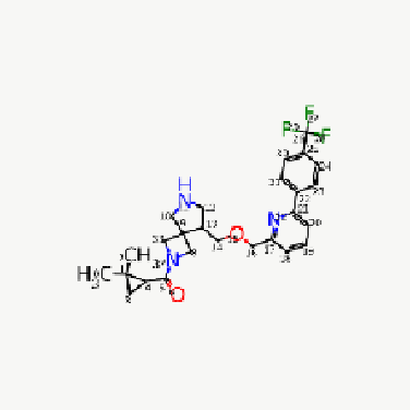 CC1(C)C[C@@H]1C(=O)N1CC2(CNCC2COCc2cccc(-c3ccc(C(F)(F)F)cc3)n2)C1